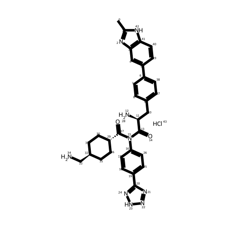 Cc1nc2cc(-c3ccc(C[C@H](N)C(=O)N(c4ccc(-c5nn[nH]n5)cc4)C(=O)[C@H]4CC[C@H](CN)CC4)cc3)ccc2[nH]1.Cl